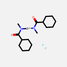 C[N]([Zr+2][N](C)C(=O)C1CCCCC1)C(=O)C1CCCCC1.[F-].[F-]